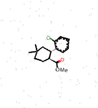 COC(=O)[C@H]1CCC(C)(C)C[C@@H]1c1ccccc1Cl